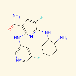 NC(=O)c1cc(F)c(NC2CCCCC2N)nc1Nc1cncc(F)c1